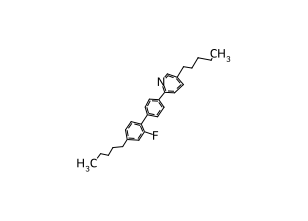 CCCCCc1ccc(-c2ccc(-c3ccc(CCCCC)cc3F)cc2)nc1